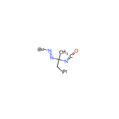 CCC(C)N=NC(C)(CC(C)C)N=C=O